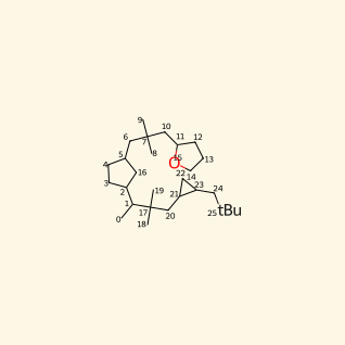 CC(C1CCC(CC(C)(C)CC2CCCO2)C1)C(C)(C)CC1CC1CC(C)(C)C